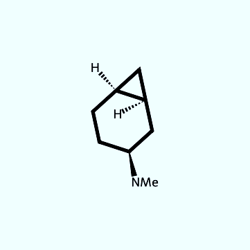 CN[C@H]1CC[C@H]2C[C@H]2C1